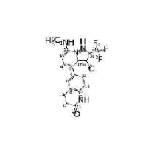 CNC1=CC=C(C2=CC3=C(CC2)NC(=O)CC3)C2=C(Cl)C(C(F)(F)F)NN12